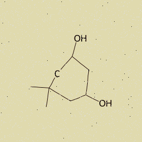 CC1(C)CC(O)CC(O)C1